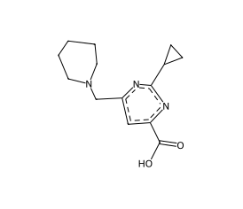 O=C(O)c1cc(CN2CCCCC2)nc(C2CC2)n1